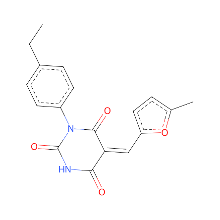 CCc1ccc(N2C(=O)NC(=O)C(=Cc3ccc(C)o3)C2=O)cc1